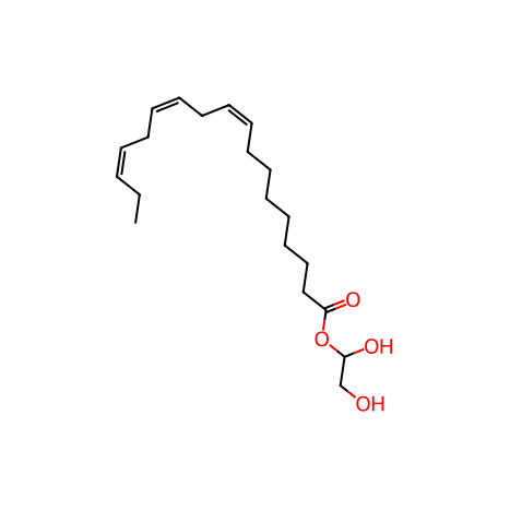 CC/C=C\C/C=C\C/C=C\CCCCCCCC(=O)OC(O)CO